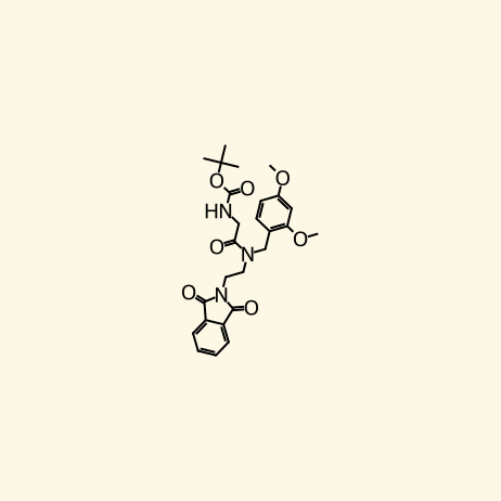 COc1ccc(CN(CCN2C(=O)c3ccccc3C2=O)C(=O)CNC(=O)OC(C)(C)C)c(OC)c1